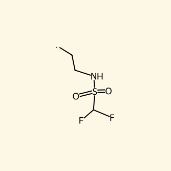 [CH2]CCNS(=O)(=O)C(F)F